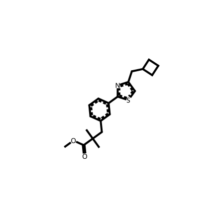 COC(=O)C(C)(C)Cc1cccc(-c2nc(CC3CCC3)cs2)c1